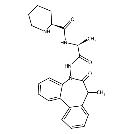 CC1C(=O)N(NC(=O)[C@H](C)NC(=O)[C@@H]2CCCCN2)c2ccccc2-c2ccccc21